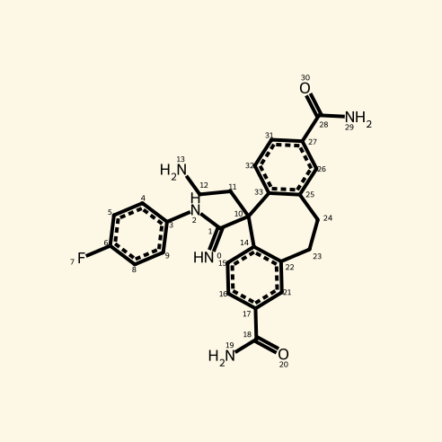 N=C(Nc1ccc(F)cc1)C1(CCN)c2ccc(C(N)=O)cc2CCc2cc(C(N)=O)ccc21